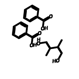 CC(CO)C(C)CO.O=C(O)c1ccccc1.O=C(O)c1ccccc1